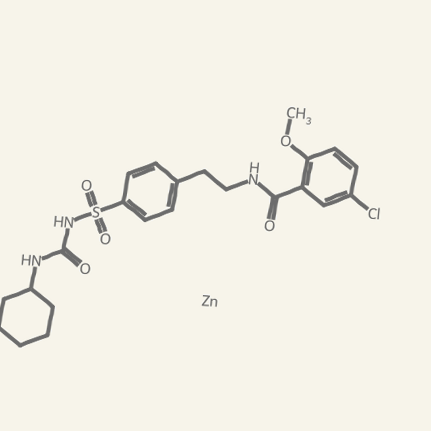 COc1ccc(Cl)cc1C(=O)NCCc1ccc(S(=O)(=O)NC(=O)NC2CCCCC2)cc1.[Zn]